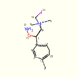 Cc1ccc(C(C[N+](C)(C)CI)ON)cc1